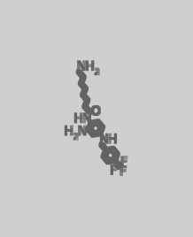 NCCCCCCCC(=O)Nc1ccc(NCc2ccc(C(F)(F)F)cc2)cc1N